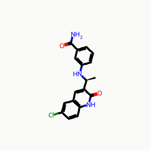 C[C@H](Nc1cccc(C(N)=O)c1)c1cc2cc(Cl)ccc2[nH]c1=O